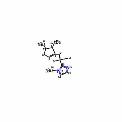 CC(C)(CC1=CCC(C(C)(C)C)C1C(C)(C)C)c1nccn1C(C)(C)C